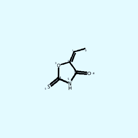 C/C=C1/OC(=S)NC1=O